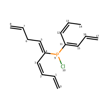 C=C/C=C\C(=C/CC=C)P(Cl)C(/C=C\C)=C/C=C